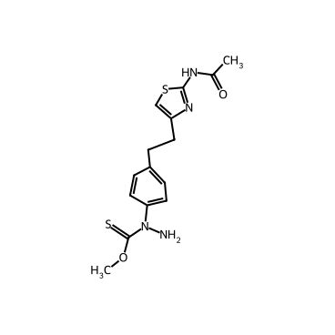 COC(=S)N(N)c1ccc(CCc2csc(NC(C)=O)n2)cc1